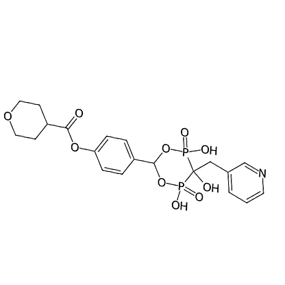 O=C(Oc1ccc(C2OP(=O)(O)C(O)(Cc3cccnc3)P(=O)(O)O2)cc1)C1CCOCC1